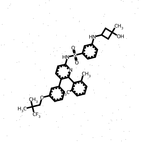 Cc1cccc(C)c1-c1nc(NS(=O)(=O)c2cccc(NC3CC(C)(O)C3)c2)ccc1-c1cccc(OCC(C)(C)C(F)(F)F)c1